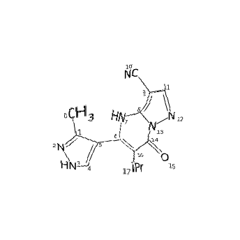 Cc1n[nH]cc1-c1[nH]c2c(C#N)cnn2c(=O)c1C(C)C